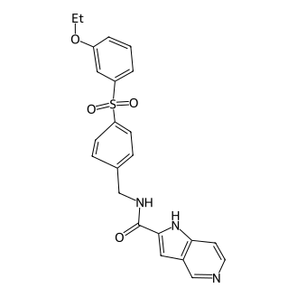 CCOc1cccc(S(=O)(=O)c2ccc(CNC(=O)c3cc4cnccc4[nH]3)cc2)c1